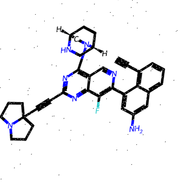 C#Cc1cccc2cc(N)cc(-c3ncc4c(N5C[C@H]6CC[C@@H]5CN6)nc(C#CC56CCCN5CCC6)nc4c3F)c12